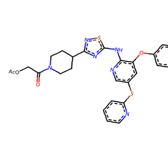 CC(=O)OCC(=O)N1CCC(c2nsc(Nc3ncc(Sc4ccccn4)cc3Oc3ccccc3)n2)CC1